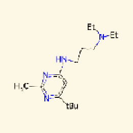 CCN(CC)CCCNc1cc(C(C)(C)C)nc(C)n1